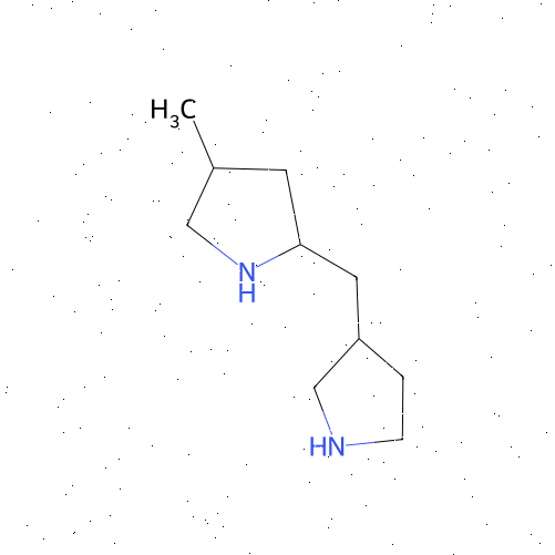 CC1CNC(CC2CCNC2)C1